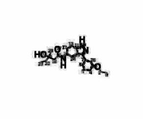 CCOc1cccc(-c2n[nH]c3ccc(NC(=O)CC(C)(O)CC)cc23)c1